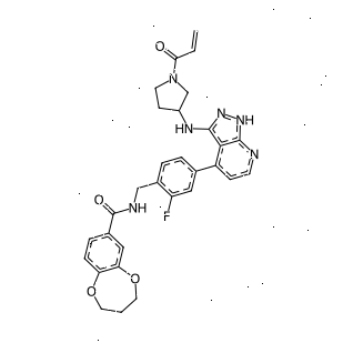 C=CC(=O)N1CCC(Nc2n[nH]c3nccc(-c4ccc(CNC(=O)c5ccc6c(c5)OCCCO6)c(F)c4)c23)C1